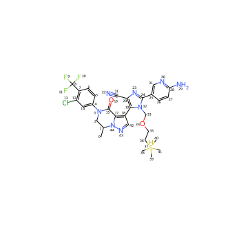 CC1CN(c2ccc(C(F)(F)F)c(Cl)c2)C(=O)c2c(-c3c(C#N)nc(-c4ccc(N)nc4)n3COCC[SH](C)(C)(C)C)cnn21